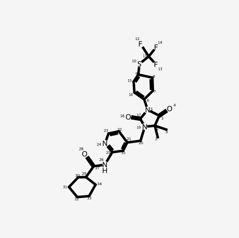 CC1(C)C(=O)N(c2ccc(SC(F)(F)F)cc2)C(=O)N1Cc1ccnc(NC(=O)C2CCCCC2)c1